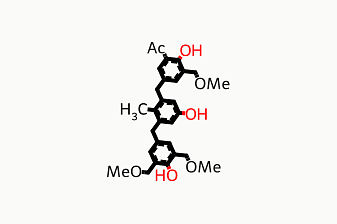 COCc1cc(Cc2cc(O)cc(Cc3cc(COC)c(O)c(C(C)=O)c3)c2C)cc(COC)c1O